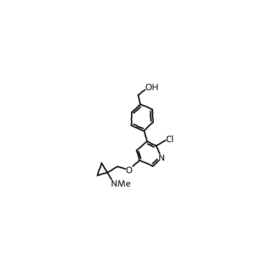 CNC1(COc2cnc(Cl)c(-c3ccc(CO)cc3)c2)CC1